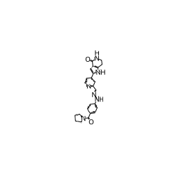 O=C1NCCc2[nH]c(-c3ccnc(C=NNc4ccc(C(=O)N5CCCC5)cc4)c3)cc21